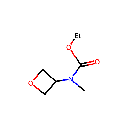 CCOC(=O)N(C)C1COC1